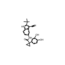 CC(C)(C)c1[nH]c2ccc(NC(=O)C3(c4ccc(O)c(O)c4)CC3)cc2c1C#N